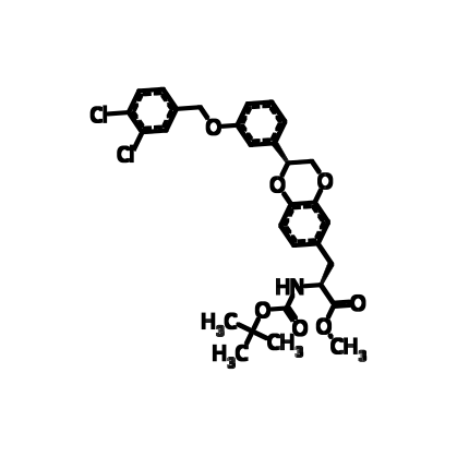 COC(=O)[C@H](Cc1ccc2c(c1)OC[C@H](c1cccc(OCc3ccc(Cl)c(Cl)c3)c1)O2)NC(=O)OC(C)(C)C